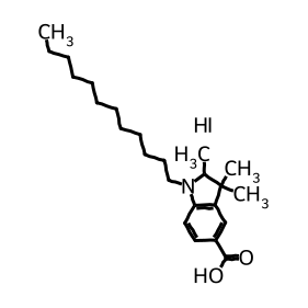 CCCCCCCCCCCCN1c2ccc(C(=O)O)cc2C(C)(C)C1C.I